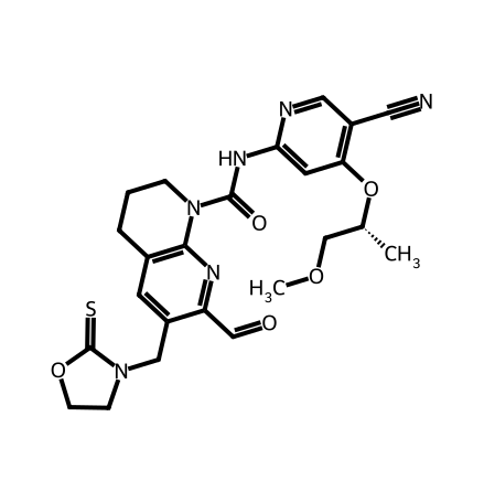 COC[C@@H](C)Oc1cc(NC(=O)N2CCCc3cc(CN4CCOC4=S)c(C=O)nc32)ncc1C#N